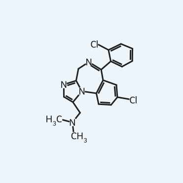 CN(C)Cc1cnc2n1-c1ccc(Cl)cc1C(c1ccccc1Cl)=NC2